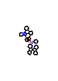 c1ccc(-c2c3c4c(-c5cccc(N(c6ccccc6)c6ccc7c(c6)C(c6ccccc6)(c6ccccc6)c6ccccc6-7)c5)cccc4c4ccccc4c3n3ccccc23)cc1